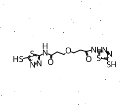 O=C(CCOCCC(=O)Nc1nnc(S)s1)Nc1nnc(S)s1